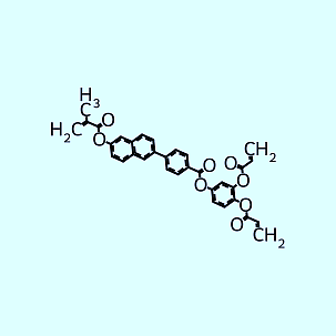 C=CC(=O)Oc1ccc(OC(=O)c2ccc(-c3ccc4cc(OC(=O)C(=C)C)ccc4c3)cc2)cc1OC(=O)C=C